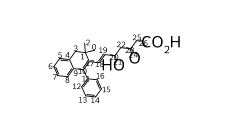 CC1(C)Cc2ccccc2C(c2ccccc2)=C1C=CC(O)CC(=O)CC(=O)O